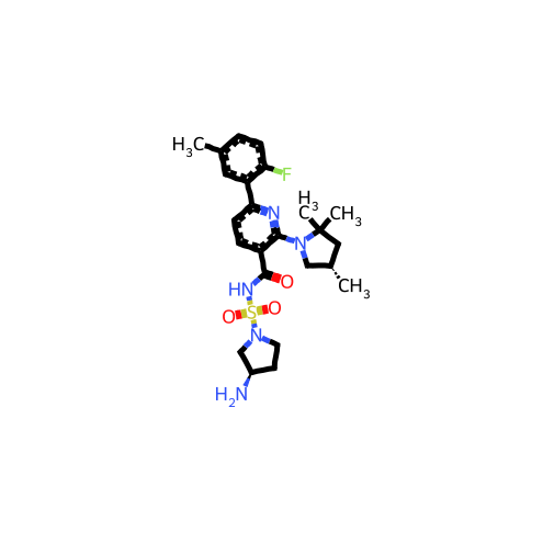 Cc1ccc(F)c(-c2ccc(C(=O)NS(=O)(=O)N3CC[C@@H](N)C3)c(N3C[C@@H](C)CC3(C)C)n2)c1